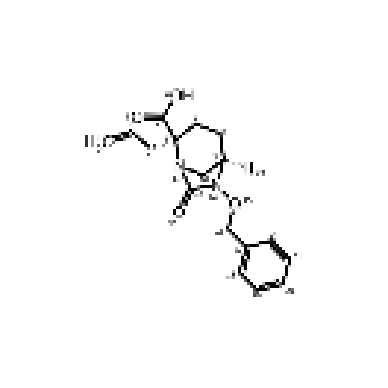 C=CC[C@]1(C(=O)O)CC[C@@H]2CN1C(=O)N2OCc1ccccc1